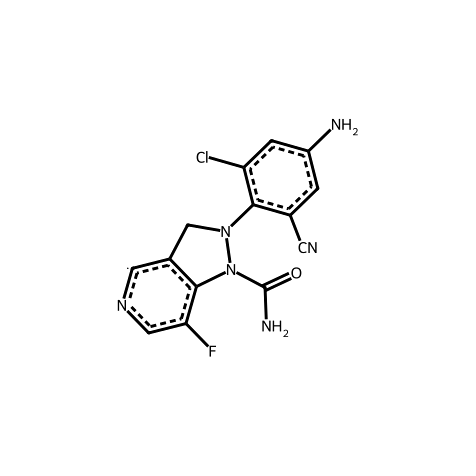 N#Cc1cc(N)cc(Cl)c1N1Cc2[c]ncc(F)c2N1C(N)=O